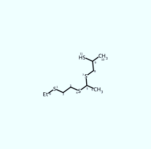 CCSCCSC(C)SCC(C)S